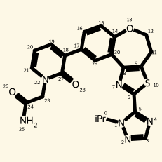 CC(C)n1ncnc1-c1nc2c(s1)CCOc1ccc(-c3cccn(CC(N)=O)c3=O)cc1-2